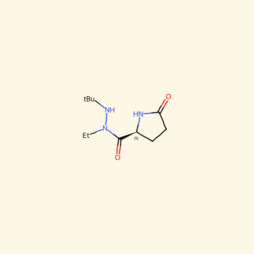 CCN(NC(C)(C)C)C(=O)[C@@H]1CCC(=O)N1